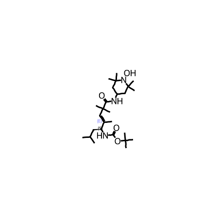 C/C(=C\C(C)(C)C(=O)NC1CC(C)(C)N(O)C(C)(C)C1)[C@H](CC(C)C)NC(=O)OC(C)(C)C